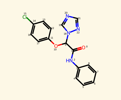 O=C(Nc1ccccc1)C(Oc1ccc(Cl)cc1)n1cncn1